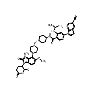 COc1ccc2c(c1N1CCN(C[C@H]3CC[C@H](NC(=O)c4cnc(-n5ccc6cc(C#N)cnc65)cc4NC(C)C)CC3)CC1)n(C)c(=O)n2C1CCC(=O)NC1=O